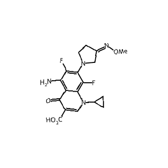 CO/N=C1/CCN(c2c(F)c(N)c3c(=O)c(C(=O)O)cn(C4CC4)c3c2F)C1